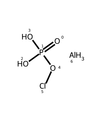 O=P(O)(O)OCl.[AlH3]